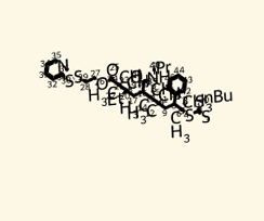 CCCCSC(=S)SC(C)(C)C(CC(C)(C)C(C)(C)C(CC(C)(CC)C(C)(C)C(=O)OCCSSc1ccccn1)C(=O)NC(C)C)c1ccccc1